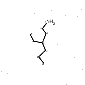 CCCC([CH]CN)CC